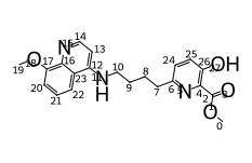 COC(=O)c1nc(CCCCNc2ccnc3c(OC)cccc23)ccc1O